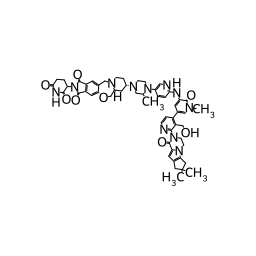 C[C@H]1CN([C@H]2CCN3Cc4cc5c(cc4OC[C@H]3C2)C(=O)N(C2CCC(=O)NC2=O)C5=O)CCN1c1ccc(Nc2cc(-c3ccnc(N4CCn5c(cc6c5CC(C)(C)C6)C4=O)c3CO)cn(C)c2=O)nc1